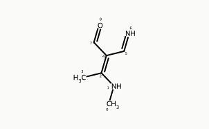 CN/C(C)=C(\C=N)C=O